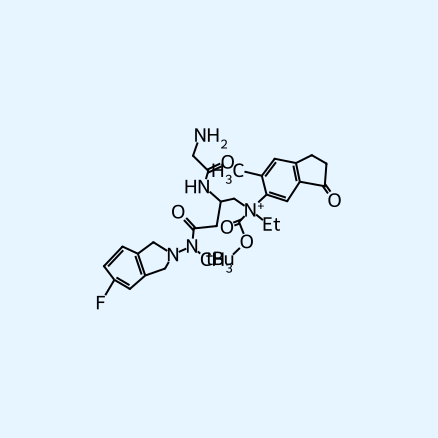 CC[N+](CC(CC(=O)N(C)N1Cc2ccc(F)cc2C1)NC(=O)CN)(C(=O)OC(C)(C)C)c1cc2c(cc1C)CCC2=O